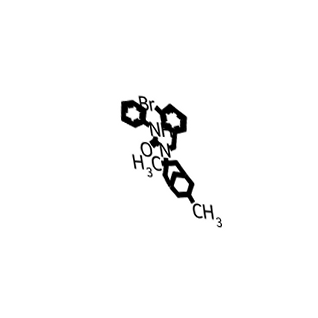 CC1CC2CC(C1)CC(C)(N(Cc1cccc(Br)c1)C(=O)Nc1ccccc1)C2